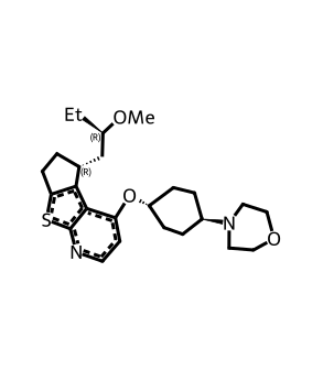 CC[C@H](C[C@H]1CCc2sc3nccc(O[C@H]4CC[C@H](N5CCOCC5)CC4)c3c21)OC